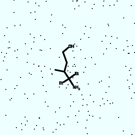 CCC(N)(CC)C(C)CCO